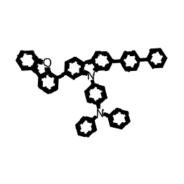 c1ccc(-c2ccc(-c3ccc4c5ccc(-c6cccc7c6oc6ccccc67)cc5n(-c5ccc(N(c6ccccc6)c6ccccc6)cc5)c4c3)cc2)cc1